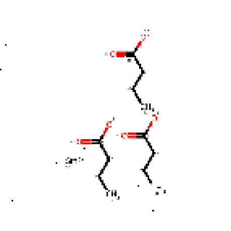 CCCC(=O)[O-].CCCC(=O)[O-].CCCC(=O)[O-].[Sm+3]